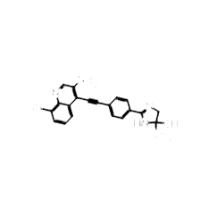 CC1(C)CN=C(c2ccc(C#Cc3c(N)cnc4c(Cl)cccc34)cc2)N1